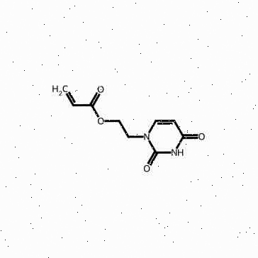 C=CC(=O)OCCn1ccc(=O)[nH]c1=O